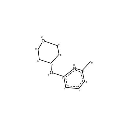 Cc1cccc(OC2CCOCC2)n1